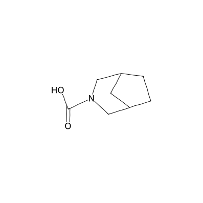 O=C(O)N1CC2CCC(C2)C1